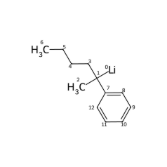 [Li][C](C)(CCCC)c1ccccc1